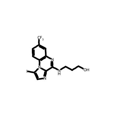 OCCCNc1nc2cc(C(F)(F)F)ccc2n2c(I)cnc12